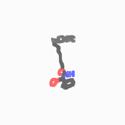 CCCCCCCCCCCCCCCCONC(=O)c1ccccc1